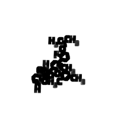 Cc1cc(C)c(Oc2nc(-c3cccc(OCC(C)C)c3F)ccc2C(=O)NS(=O)(=O)c2ccc[nH]c2=O)c(C)c1